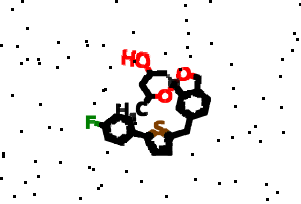 CC1CC(O)C[C@@]2(OCc3ccc(Cc4ccc(-c5ccc(F)cc5)s4)cc32)O1